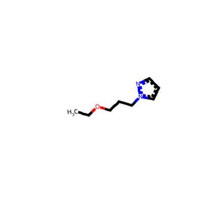 CCOCCCn1cccn1